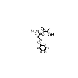 CC(O)C(=O)OC(N)CCOc1ccccc1